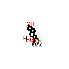 CC(=O)OCC(=O)[C@@]1(O)C(=CCl)C=C2c3ccc4cc(O)ccc4c3CC[C@@]21C